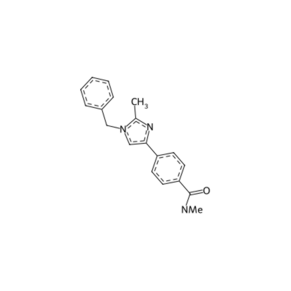 CNC(=O)c1ccc(-c2cn(Cc3ccccc3)c(C)n2)cc1